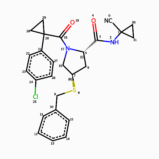 N#CC1(NC(=O)[C@@H]2C[C@@H](SCc3ccccc3)CN2C(=O)C2(c3ccc(Cl)cc3)CC2)CC1